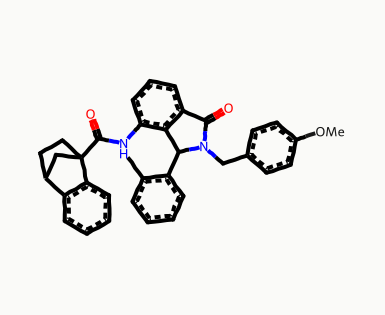 COc1ccc(CN2C(=O)c3cccc(NC(=O)C45CCC(C4)c4ccccc45)c3C2c2ccccc2C)cc1